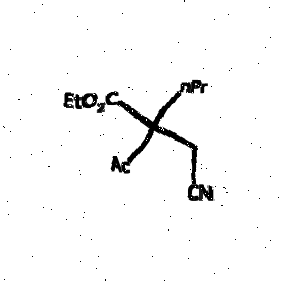 CCCC(CC#N)(C(C)=O)C(=O)OCC